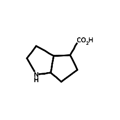 O=C(O)C1CCC2NCCC21